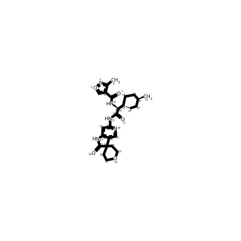 Cc1nocc1C(=O)N[C@H](C(=O)Nc1cc2c(cn1)C1(CCOCC1)C(=O)N2)[C@H]1CC[C@H](C)CC1